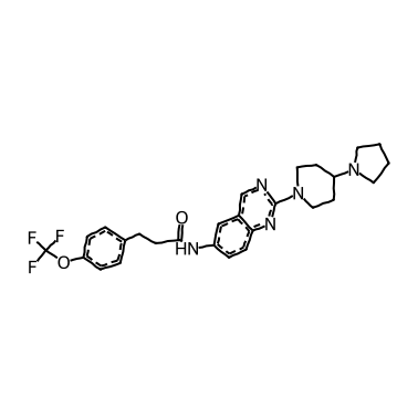 O=C(CCc1ccc(OC(F)(F)F)cc1)Nc1ccc2nc(N3CCC(N4CCCC4)CC3)ncc2c1